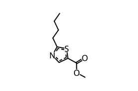 CCCCc1ncc(C(=O)OC)s1